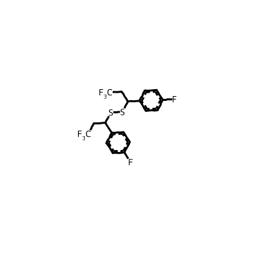 Fc1ccc(C(CC(F)(F)F)SSC(CC(F)(F)F)c2ccc(F)cc2)cc1